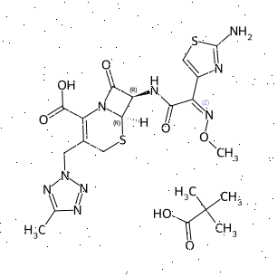 CC(C)(C)C(=O)O.CO/N=C(\C(=O)N[C@@H]1C(=O)N2C(C(=O)O)=C(Cn3nnc(C)n3)CS[C@H]12)c1csc(N)n1